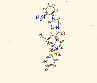 C=Cc1cc(C(=O)N2CCN(c3ccccc3N)CC2)c2ccn(S(=O)(=O)c3ccc(C)cc3)c2c1